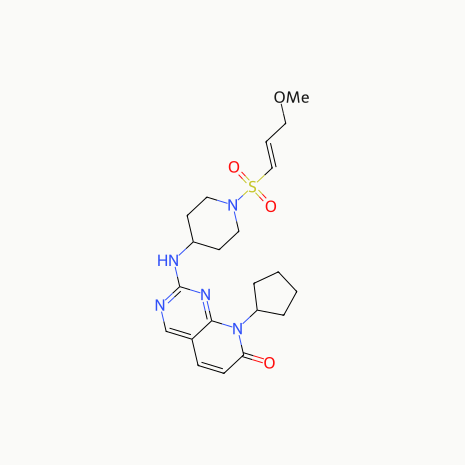 COC/C=C/S(=O)(=O)N1CCC(Nc2ncc3ccc(=O)n(C4CCCC4)c3n2)CC1